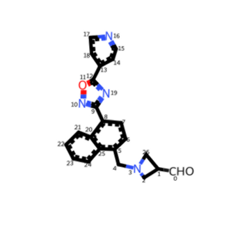 O=CC1CN(Cc2ccc(-c3noc(-c4ccncc4)n3)c3ccccc23)C1